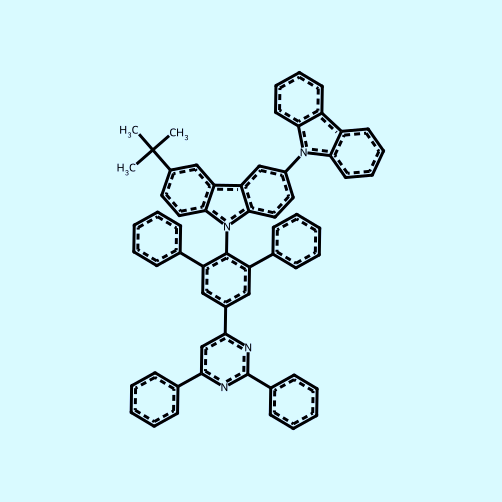 CC(C)(C)c1ccc2c(c1)c1cc(-n3c4ccccc4c4ccccc43)ccc1n2-c1c(-c2ccccc2)cc(-c2cc(-c3ccccc3)nc(-c3ccccc3)n2)cc1-c1ccccc1